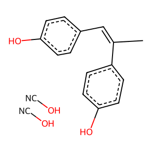 CC(=Cc1ccc(O)cc1)c1ccc(O)cc1.N#CO.N#CO